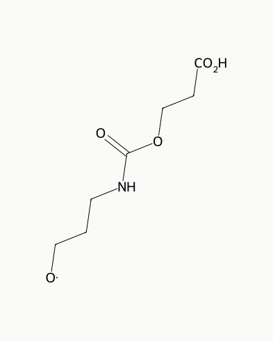 [O]CCCNC(=O)OCCC(=O)O